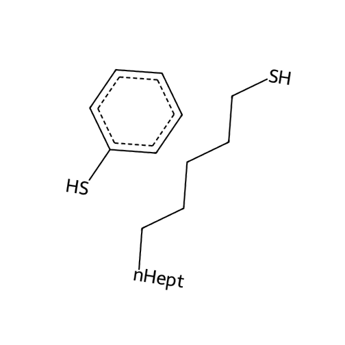 CCCCCCCCCCCCS.Sc1ccccc1